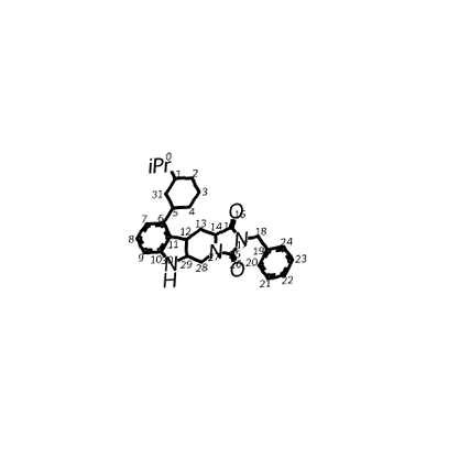 CC(C)C1CCCC(c2cccc3c2C2CC4C(=O)N(Cc5ccccc5)C(=O)N4CC2N3)C1